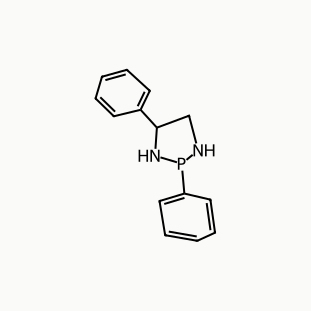 c1ccc(C2CNP(c3ccccc3)N2)cc1